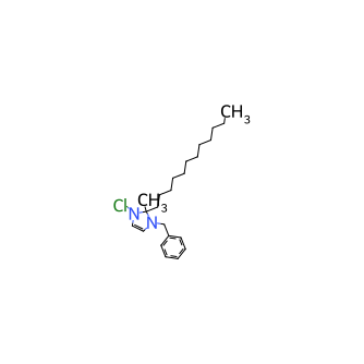 CCCCCCCCCCCCC1(C)N(Cl)C=CN1Cc1ccccc1